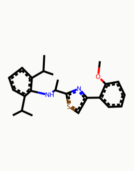 COc1ccccc1-c1csc(C(C)Nc2c(C(C)C)cccc2C(C)C)n1